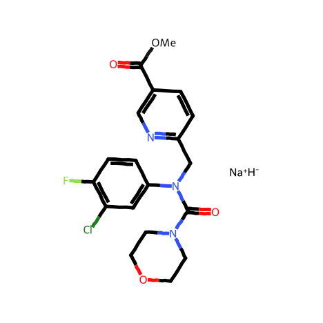 COC(=O)c1ccc(CN(C(=O)N2CCOCC2)c2ccc(F)c(Cl)c2)nc1.[H-].[Na+]